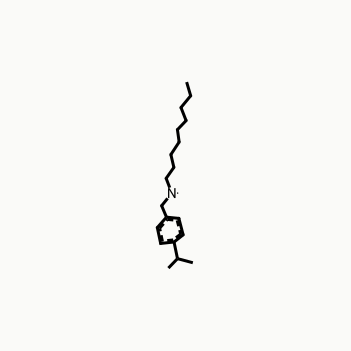 CCCCCCCCC[N]Cc1ccc(C(C)C)cc1